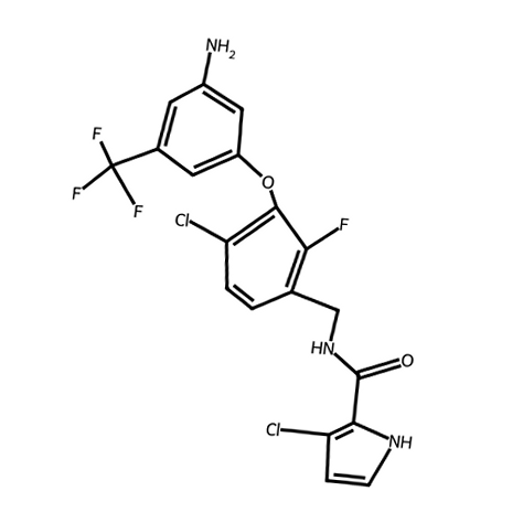 Nc1cc(Oc2c(Cl)ccc(CNC(=O)c3[nH]ccc3Cl)c2F)cc(C(F)(F)F)c1